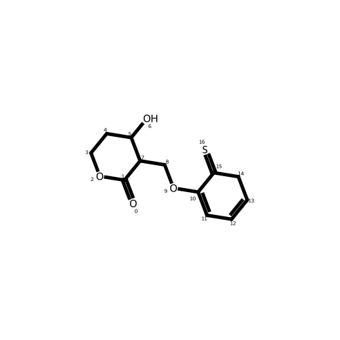 O=C1OCCC(O)C1COC1=CC=CCC1=S